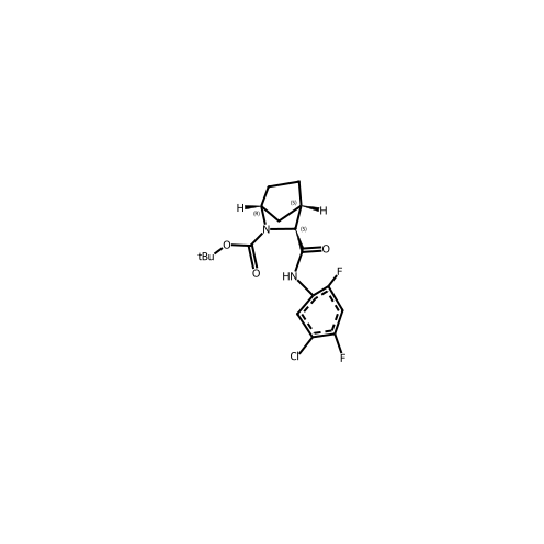 CC(C)(C)OC(=O)N1[C@@H]2CC[C@@H](C2)[C@H]1C(=O)Nc1cc(Cl)c(F)cc1F